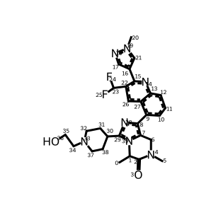 CC1C(=O)N(C)Cc2c(-c3cccc4nc(-c5cnn(C)c5)c(C(F)F)cc34)nc(C3CCN(CCO)CC3)n21